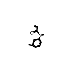 C=CC(=O)N(C)c1cccc(C)c1